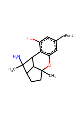 CCCCCc1cc(O)c2c(c1)OC1(C)CCC3C1C2C3(C)N